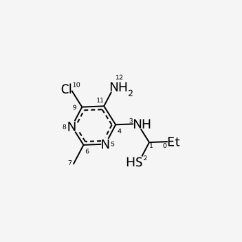 CCC(S)Nc1nc(C)nc(Cl)c1N